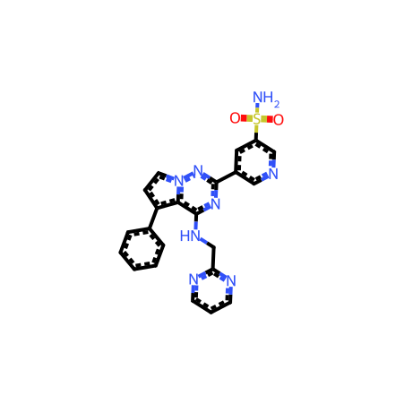 NS(=O)(=O)c1cncc(-c2nc(NCc3ncccn3)c3c(-c4ccccc4)ccn3n2)c1